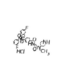 CCN(C(=O)CNC(=O)c1ccc(S(=O)(=O)N(Oc2ccc(F)cc2)c2cccc(F)c2)cc1)C1CCNCC1.Cl